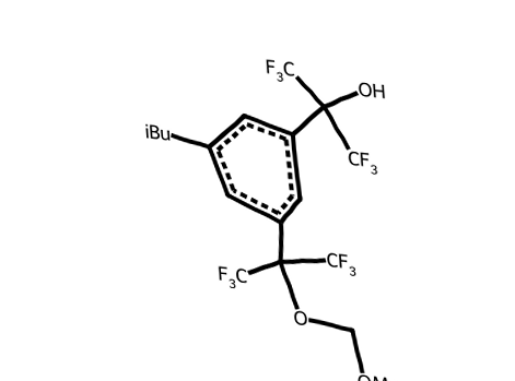 CCC(C)c1cc(C(O)(C(F)(F)F)C(F)(F)F)cc(C(OCOC)(C(F)(F)F)C(F)(F)F)c1